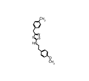 COc1ccc(CCNc2nc(Cc3ccc(C)cc3)ns2)cc1